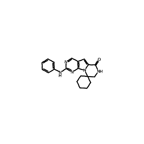 O=C1NCC2(CCCCC2)n2c1cc1cnc(Nc3ccccc3)nc12